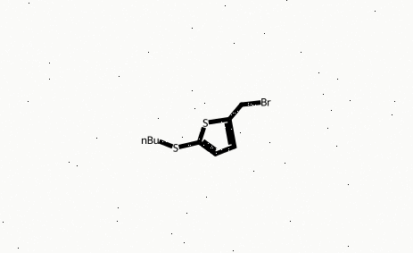 CCCCSc1ccc(CBr)s1